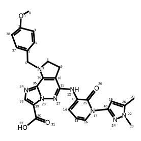 COc1ccc(CN2CCc3c(Nc4cccn(-c5cc(C)n(C)n5)c4=O)nn4c(C(=O)O)cnc4c32)cc1